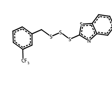 FC(F)(F)c1cccc(CSSSc2nc3ccccc3s2)c1